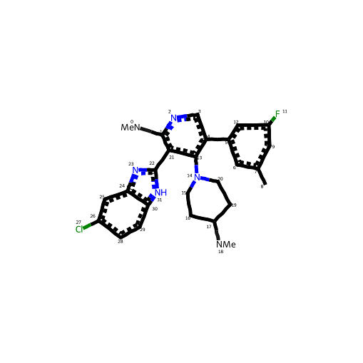 CNc1ncc(-c2cc(C)cc(F)c2)c(N2CCC(NC)CC2)c1-c1nc2cc(Cl)ccc2[nH]1